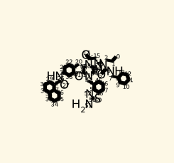 C=CCN(C(=O)NCc1ccccc1)N1CC(=O)N2[C@@H](Cc3ccc(NC(=O)c4cccc5ccccc45)cc3)C(=O)N(Cc3cccc4sc(N)nc34)C[C@@H]21